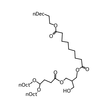 CCCCCCCCCCCCOC(=O)CCCCCCCC(=O)OCC(CO)COC(=O)CCC(OCCCCCCCC)OCCCCCCCC